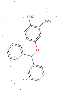 COc1cc(OC(c2ccccc2)c2ccccc2)ccc1C=O